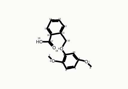 COc1ccc(OC)c(OCc2ccccc2C(=O)O)c1